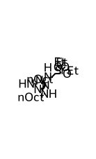 CCCCCCCCNc1nc(NCCCCCCCC)nc(NCCC[Si](OCC)(OCC)OCC)n1